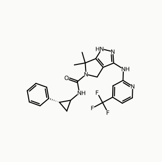 CC1(C)c2[nH]nc(Nc3cc(C(F)(F)F)ccn3)c2CN1C(=O)NC1C[C@@H]1c1ccccc1